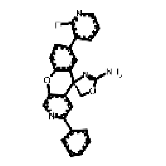 NC1=N[C@@]2(CO1)c1cc(-c3cccnc3F)ccc1Oc1cnc(-c3ccccc3)cc12